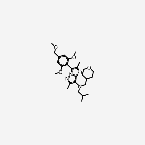 COCc1cc(OC)c(-c2c(C)oc3c(N(CC(C)C)CC4CCOCC4)c(C)nn23)c(OC)c1